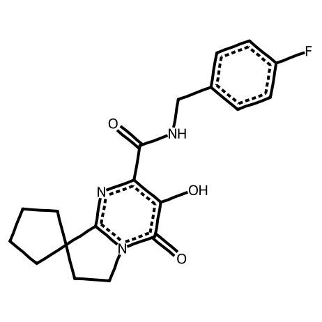 O=C(NCc1ccc(F)cc1)c1nc2n(c(=O)c1O)CCC21CCCC1